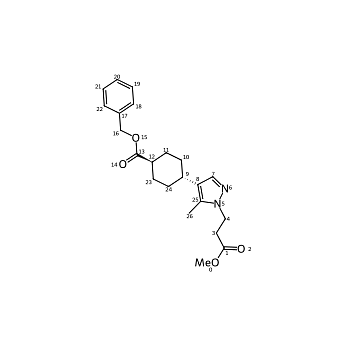 COC(=O)CCn1ncc([C@H]2CC[C@H](C(=O)OCc3ccccc3)CC2)c1C